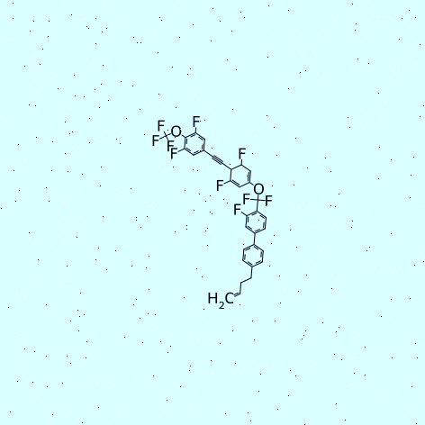 C=CCCc1ccc(-c2ccc(C(F)(F)OC3=CC(F)C(C#Cc4cc(F)c(OC(F)(F)F)c(F)c4)C(F)=C3)c(F)c2)cc1